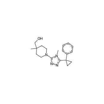 Cn1c(N2CCC(C)(CO)CC2)nnc1C1(c2ccccc2)CC1